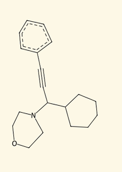 C(#CC(C1CCCCC1)N1CCOCC1)c1ccccc1